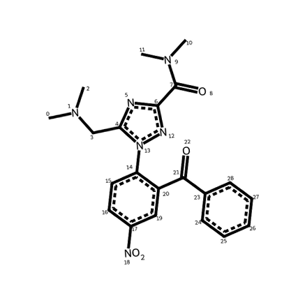 CN(C)Cc1nc(C(=O)N(C)C)nn1-c1ccc([N+](=O)[O-])cc1C(=O)c1ccccc1